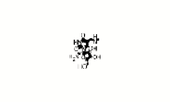 CNCc1cn([C@]2(CN)O[C@H](CO)[C@@H](O)[C@H]2O)c(=O)[nH]c1=O